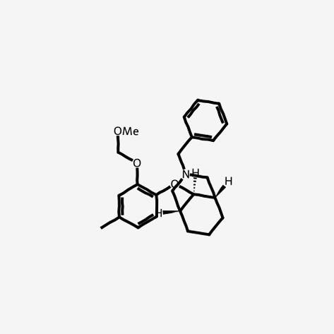 COCOc1cc(C)ccc1O[C@@H]1[C@@H]2CCC[C@H]1CN(Cc1ccccc1)C2